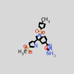 Cc1ccc(S(=O)(=O)n2cc(-c3ccc(S(C)(=O)=O)cn3)c3cc(-c4nnc(N)o4)ccc32)cc1